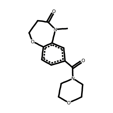 CN1C(=O)CCOc2ccc(C(=O)N3CCOCC3)cc21